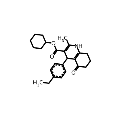 CCc1ccc(C2C(C(=O)OC3CCCCC3)=C(C)NC3=C2C(=O)CCC3)cc1